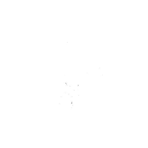 O=C(O)CCC/C=C/C[C@@H]1[C@@H](N2CCOCC2)[C@H](O)C[C@@H]1OCc1ccccc1